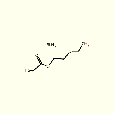 CCSCCOC(=O)CS.[SbH3]